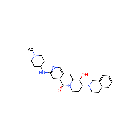 CC(=O)N1CCC(Nc2cc(C(=O)N3CCC(N4CCc5ccccc5C4)C(O)C3C)ccn2)CC1